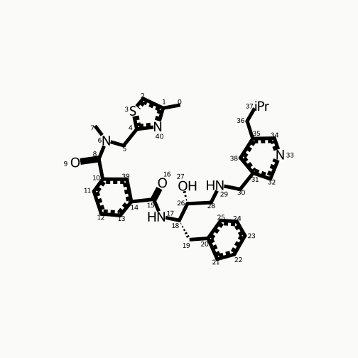 Cc1csc(CN(C)C(=O)c2cccc(C(=O)N[C@@H](Cc3ccccc3)[C@H](O)CNCc3cncc(CC(C)C)c3)c2)n1